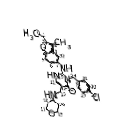 CCc1oc2ccc(NC3NC=C(CNC4CCOCC4)C(=O)N3Cc3ccc(Cl)cc3)cc2c1C